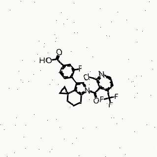 O=C(O)c1ccc(-c2cn(C(=O)c3c(C(F)(F)F)ccnc3Cl)c3c2C2(CCC3)CC2)c(F)c1